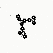 c1ccc2c(c1)CCC(c1ccc(-c3ccc4c(c3)c3cc(-c5ccc(N6c7ccccc7Oc7ccccc76)cc5)ccc3n4-c3ccc4ccccc4c3)cc1)c1ccccc1O2